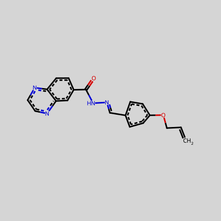 C=CCOc1ccc(/C=N/NC(=O)c2ccc3nccnc3c2)cc1